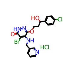 Cl.O=c1[nH]nc(OCCC(O)c2ccc(Cl)cc2)c(NCc2cccnc2)c1Br